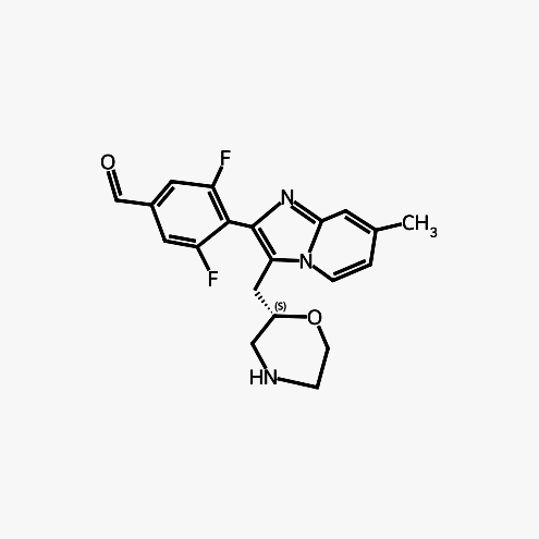 Cc1ccn2c(C[C@H]3CNCCO3)c(-c3c(F)cc(C=O)cc3F)nc2c1